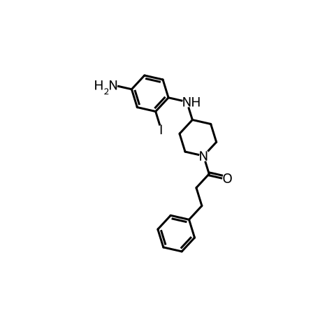 Nc1ccc(NC2CCN(C(=O)CCc3ccccc3)CC2)c(I)c1